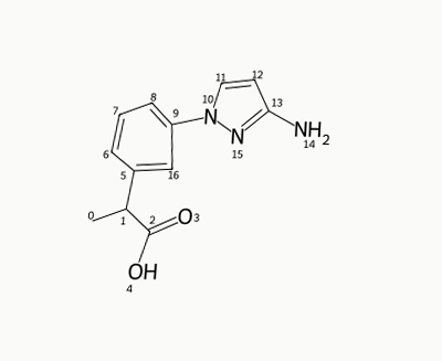 CC(C(=O)O)c1cccc(-n2ccc(N)n2)c1